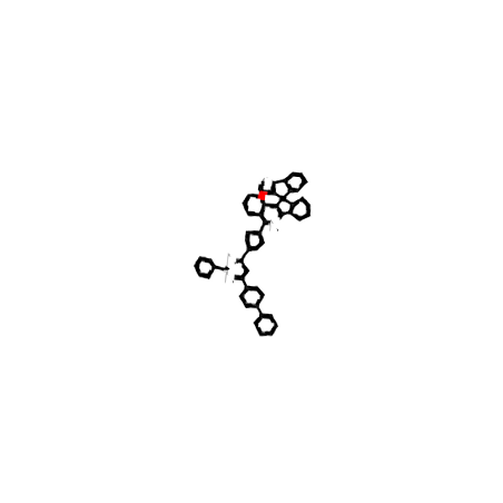 c1ccc(-c2ccc(-c3cc(-c4ccc(-c5nc6c(c7ccccc57)C5(c7ccccc7-c7ccccc75)c5ccccc5-6)cc4)nc(-c4ccccc4)n3)cc2)cc1